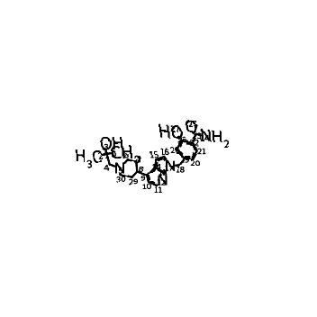 CC(C)(O)CN1CCC(c2ccnc3c2ccn3Cc2ccc(C(N)=O)c(O)c2)CC1